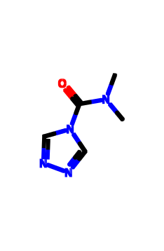 CN(C)C(=O)n1cnnc1